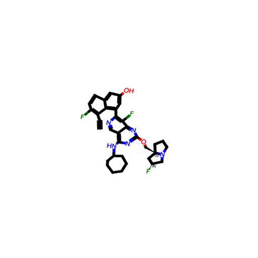 C#Cc1c(F)ccc2cc(O)cc(-c3ncc4c(NC5CCCCCC5)nc(OC[C@@]56CCCN5C[C@H](F)C6)nc4c3F)c12